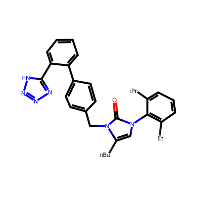 CCCCc1cn(-c2c(CC)cccc2C(C)C)c(=O)n1Cc1ccc(-c2ccccc2-c2nnn[nH]2)cc1